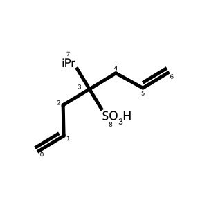 C=CCC(CC=C)(C(C)C)S(=O)(=O)O